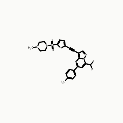 CN1CCN(S(=O)(=O)c2ccc(C#Cc3cnn4c(C(F)F)cc(-c5ccc(C(F)(F)F)cc5)nc34)s2)CC1